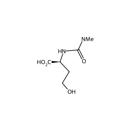 CNC(=O)N[C@@H](CCO)C(=O)O